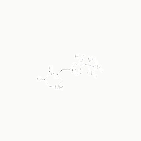 CC(C)(C)[Si](C)(C)OCC[C@H]1CNCC(=O)N1